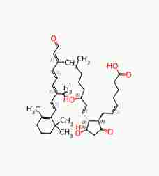 CC1=C(/C=C/C(C)=C/C=C/C(C)=C/C=O)C(C)(C)CCC1.CCCCC[C@H](O)/C=C/[C@H]1[C@H](O)CC(=O)[C@@H]1C/C=C\CCCC(=O)O